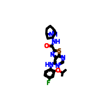 CC(C)Oc1cc(F)ccc1Nc1ncnc2sc(C(=O)NC3CC4CCC(C3)N4)nc12